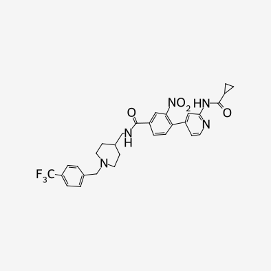 O=C(NCC1CCN(Cc2ccc(C(F)(F)F)cc2)CC1)c1ccc(-c2ccnc(NC(=O)C3CC3)c2)c([N+](=O)[O-])c1